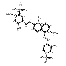 CCS(=O)(=O)c1ccc(/N=N/c2c(NC)ccc3c(O)c(/N=N/c4cc(S(=O)(=O)CC)c(OC)cc4O)ccc23)c(C)c1